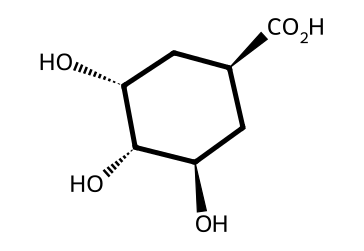 O=C(O)[C@H]1C[C@@H](O)[C@H](O)[C@H](O)C1